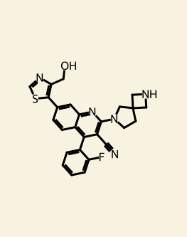 N#Cc1c(N2CCC3(CNC3)C2)nc2cc(-c3scnc3CO)ccc2c1-c1ccccc1F